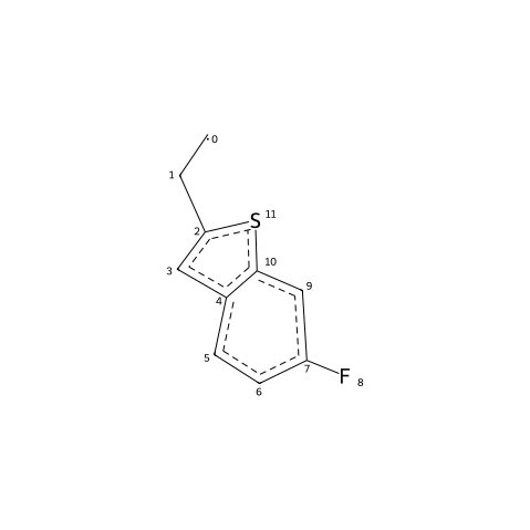 [CH2]Cc1cc2ccc(F)cc2s1